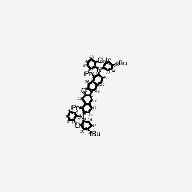 Cc1ccccc1N(c1ccc(C(C)(C)C)cc1)c1ccc2c(c1C(C)C)=CC1Oc3cc4c(C(C)C)c(N(c5ccc(C(C)(C)C)cc5)c5ccccc5C)ccc4cc3C1C=2